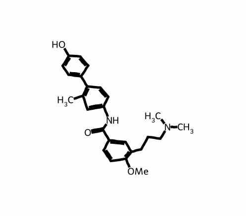 COc1ccc(C(=O)Nc2ccc(-c3ccc(O)cc3)c(C)c2)cc1CCCN(C)C